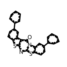 O=c1c2c(nc3sc4ccc(-c5ccccc5)cc4n13)sc1ccc(-c3ccccc3)cc12